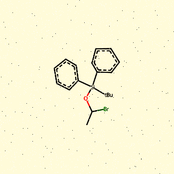 CC(Br)O[Si](c1ccccc1)(c1ccccc1)C(C)(C)C